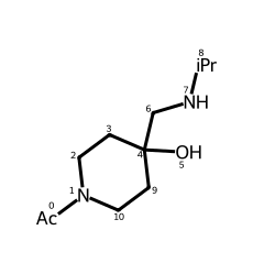 CC(=O)N1CCC(O)(CNC(C)C)CC1